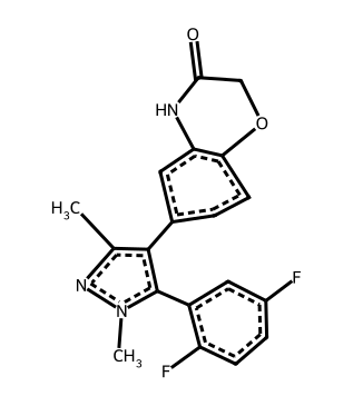 Cc1nn(C)c(-c2cc(F)ccc2F)c1-c1ccc2c(c1)NC(=O)CO2